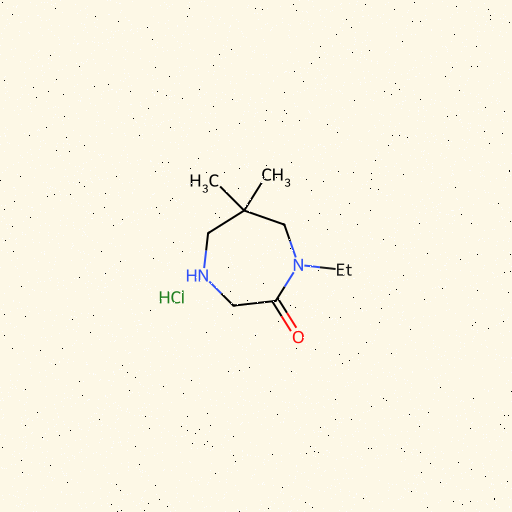 CCN1CC(C)(C)CNCC1=O.Cl